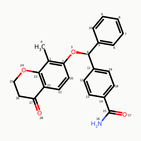 Cc1c(O[C@@H](c2ccccc2)c2ccc(C(N)=O)cc2)ccc2c1OCCC2=O